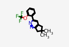 CC1(C)Cc2cc(-c3ccccc3OC(F)(F)F)nnc2C1